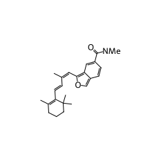 CNC(=O)c1ccc2coc(C=C(C)C=CC3=C(C)CCCC3(C)C)c2c1